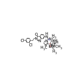 C[C@@H]1C(/N=C(/Nc2ccc3c(=O)n(CCc4ccc(Cl)cc4Cl)cnc3c2)N2CC[C@H](C)[C@H]2CO)C[C@@H]2C[C@H]1C2(C)C